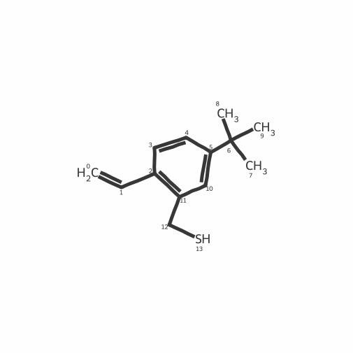 C=Cc1ccc(C(C)(C)C)cc1CS